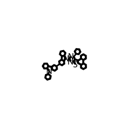 c1ccc(-c2nc(-n3c4ccccc4c4cc(-c5ccc6c(c5)c5ccccc5n6-c5ccccc5)ccc43)nc3sc4c5ccccc5c5ccccc5c4c23)cc1